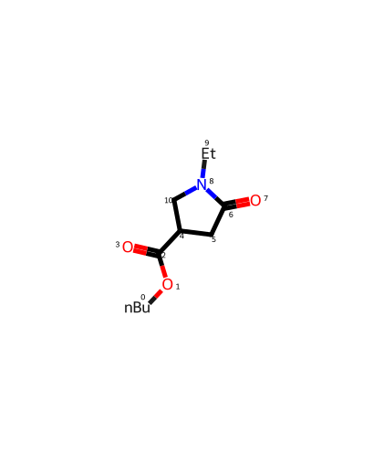 CCCCOC(=O)C1CC(=O)N(CC)C1